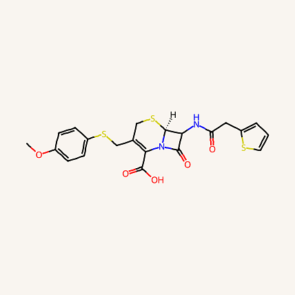 COc1ccc(SCC2=C(C(=O)O)N3C(=O)C(NC(=O)Cc4cccs4)[C@@H]3SC2)cc1